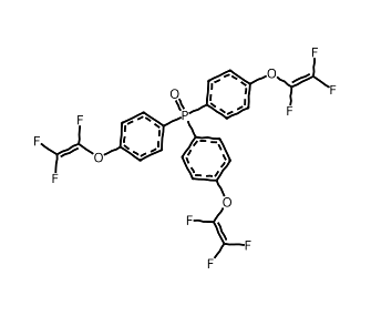 O=P(c1ccc(OC(F)=C(F)F)cc1)(c1ccc(OC(F)=C(F)F)cc1)c1ccc(OC(F)=C(F)F)cc1